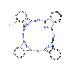 Sc1cccc2c3nc4nc(nc5[nH]c(nc6nc(nc([nH]3)c12)-c1ccccc1-6)c1ccccc51)-c1ccccc1-4